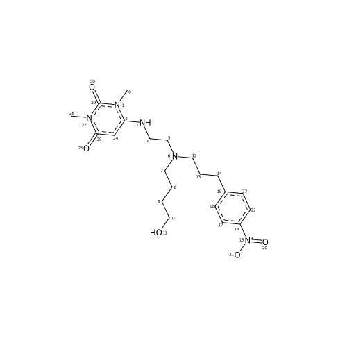 Cn1c(NCCN(CCCCO)CCCc2ccc([N+](=O)[O-])cc2)cc(=O)n(C)c1=O